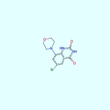 O=c1[nH]c(=O)c2cc(Br)cc(N3CCOCC3)c2[nH]1